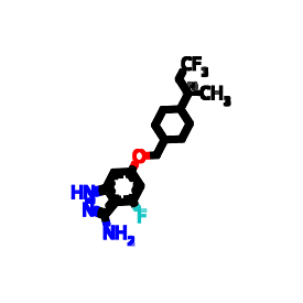 C[C@H](CC(F)(F)F)C1CCC(COc2cc(F)c3c(N)n[nH]c3c2)CC1